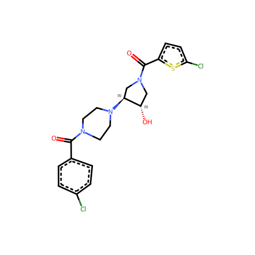 O=C(c1ccc(Cl)cc1)N1CCN([C@H]2CN(C(=O)c3ccc(Cl)s3)C[C@@H]2O)CC1